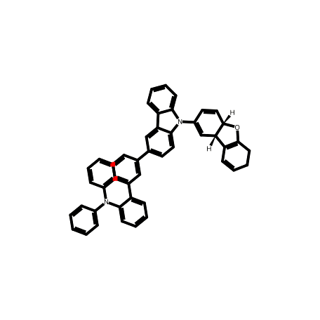 C1=CC2=C(CC1)O[C@H]1C=CC(n3c4ccccc4c4cc(-c5cccc(-c6ccccc6N(c6ccccc6)c6ccccc6)c5)ccc43)=C[C@@H]21